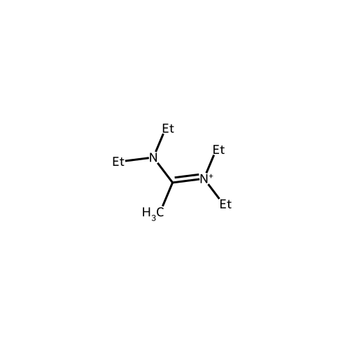 CCN(CC)C(C)=[N+](CC)CC